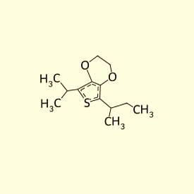 CCC(C)c1sc(C(C)C)c2c1OCCO2